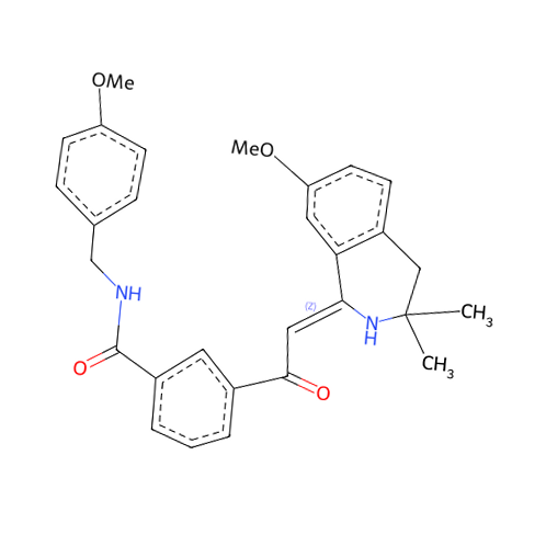 COc1ccc(CNC(=O)c2cccc(C(=O)/C=C3\NC(C)(C)Cc4ccc(OC)cc43)c2)cc1